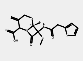 C=C1CS[C@H]2N(C(=O)C2(NC(=O)Cc2cccs2)OC)C1C(=O)O